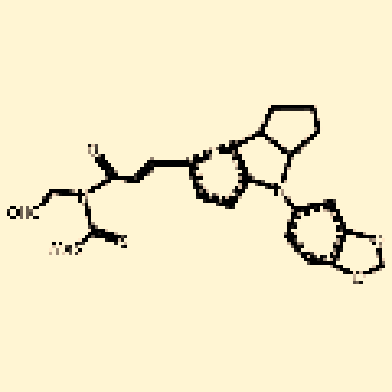 CSC(=S)N(CC=O)C(=O)/C=C/c1ccc2c(c1)C1CCCC1N2c1ccc2c(c1)OCO2